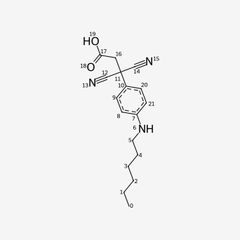 CCCCCCNc1ccc(C(C#N)(C#N)CC(=O)O)cc1